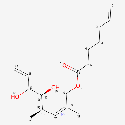 C=CCCCCC(=O)OC/C(C)=C\[C@@H](C)[C@H](O)C(O)C=C